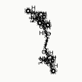 CC[C@H](NC)C(=O)N[C@@H]1C(=O)N2[C@@H](CC[C@@H]1CNC(=O)CCC#CC#CCCC(=O)NCCNC(=O)C(NC(=O)[C@@H]1CC[C@@H]3CC[C@H](CCNCc4ccccc4)[C@H](NC(=O)[C@H](CC)NC)C(=O)N31)(c1ccccc1)c1ccccc1)CC[C@H]2C(=O)NCc1ccccc1